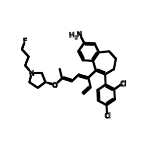 C=C/C(=C\C=C(/C)O[C@H]1CCN(CCCF)C1)C1=C(c2ccc(Cl)cc2Cl)CCCc2cc(N)ccc21